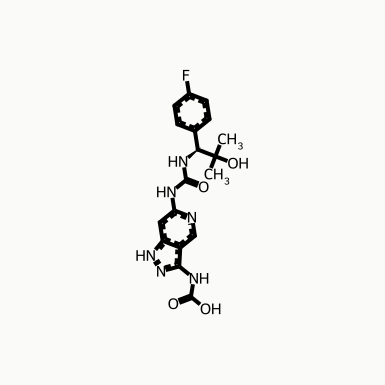 CC(C)(O)[C@@H](NC(=O)Nc1cc2[nH]nc(NC(=O)O)c2cn1)c1ccc(F)cc1